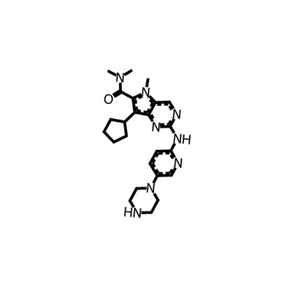 CN(C)C(=O)c1c(C2CCCC2)c2nc(Nc3ccc(N4CCNCC4)cn3)ncc2n1C